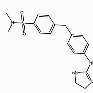 CN(C)S(=O)(=O)c1ccc(Cc2ccc(NC3=NCCN3)cc2)cc1